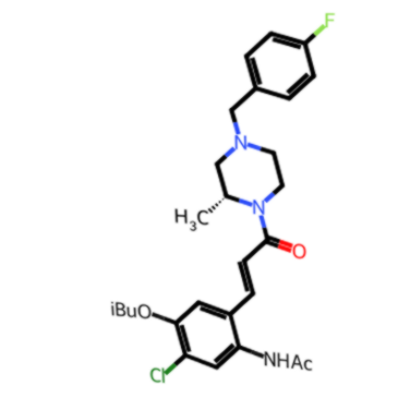 CC(=O)Nc1cc(Cl)c(OCC(C)C)cc1C=CC(=O)N1CCN(Cc2ccc(F)cc2)C[C@H]1C